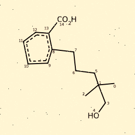 CC(C)(CO)CCCc1ccccc1C(=O)O